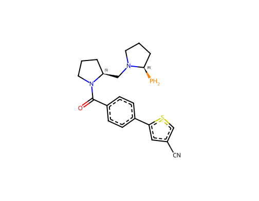 N#Cc1csc(-c2ccc(C(=O)N3CCC[C@H]3CN3CCC[C@H]3P)cc2)c1